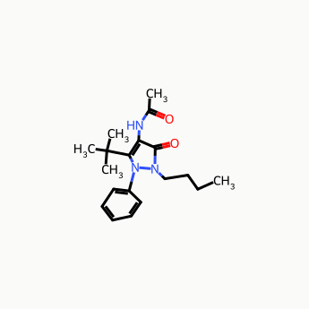 CCCCn1c(=O)c(NC(C)=O)c(C(C)(C)C)n1-c1ccccc1